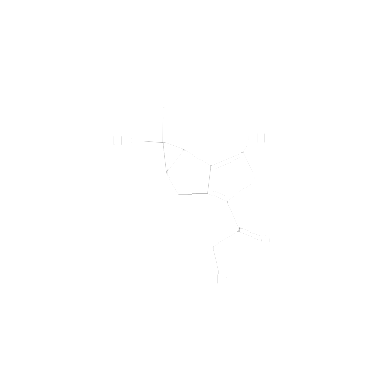 Cc1sc(C(=O)CBr)c2c1C1C(C2)C1(C)C